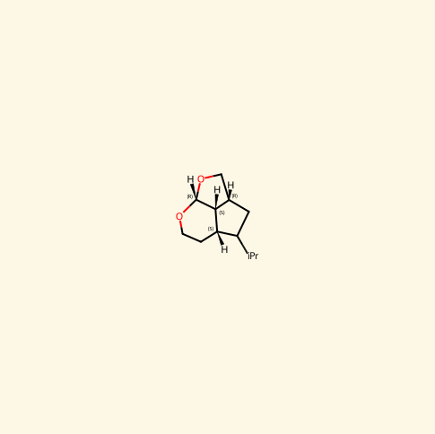 CC(C)C1C[C@H]2CO[C@H]3OCC[C@@H]1[C@@H]23